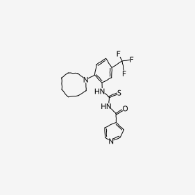 O=C(NC(=S)Nc1cc(C(F)(F)F)ccc1N1CCCCCCC1)c1ccncc1